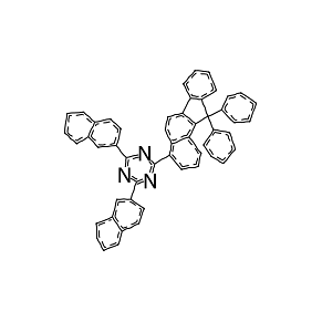 c1ccc(C2(c3ccccc3)c3ccccc3-c3ccc4c(-c5nc(-c6ccc7ccccc7c6)nc(-c6ccc7ccccc7c6)n5)cccc4c32)cc1